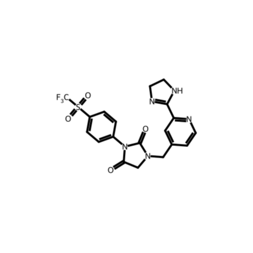 O=C1CN(Cc2ccnc(C3=NCCN3)c2)C(=O)N1c1ccc(S(=O)(=O)C(F)(F)F)cc1